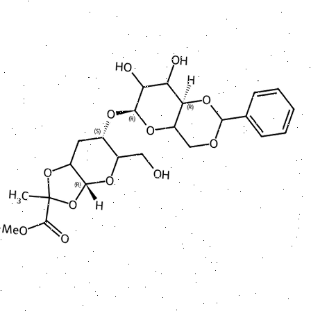 COC(=O)C1(C)OC2C[C@H](O[C@@H]3OC4COC(c5ccccc5)O[C@@H]4C(O)C3O)C(CO)O[C@@H]2O1